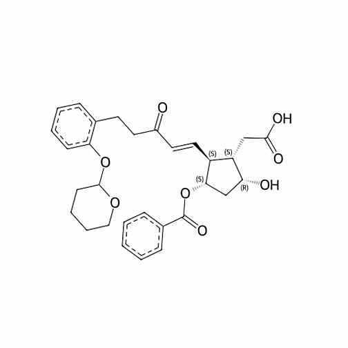 O=C(O)C[C@H]1[C@H](C=CC(=O)CCc2ccccc2OC2CCCCO2)[C@@H](OC(=O)c2ccccc2)C[C@H]1O